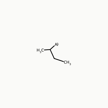 CC[CH](C)[Al]